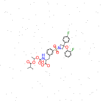 CC(OC(=O)NC(Cc1cccc(S(=O)(=O)N2CC(Oc3ccccc3F)(c3ccc(F)cc3)C2)c1)C(=O)O)OC(=O)C(C)C